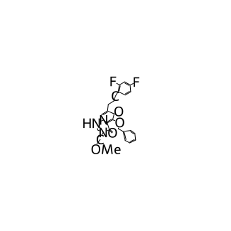 COCCN1CNn2cc(CCCc3ccc(F)cc3F)c(=O)c(OCc3ccccc3)c2C1=O